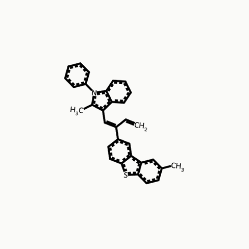 C=C/C(=C\c1c(C)n(-c2ccccc2)c2ccccc12)c1ccc2sc3ccc(C)cc3c2c1